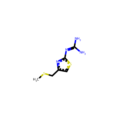 CSCc1csc(N=C(N)N)n1